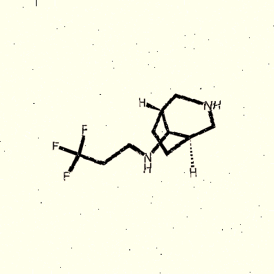 FC(F)(F)CCNC1[C@@H]2CC[C@@H]1CNC2